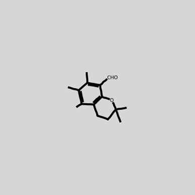 Cc1c(C)c(C=O)c2c(c1C)CCC(C)(C)O2